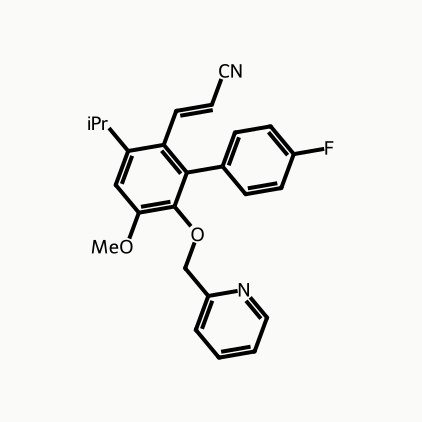 COc1cc(C(C)C)c(C=CC#N)c(-c2ccc(F)cc2)c1OCc1ccccn1